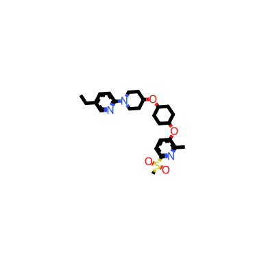 CCc1ccc(N2CCC(OC3CCC(Oc4ccc(S(C)(=O)=O)nc4C)CC3)CC2)nc1